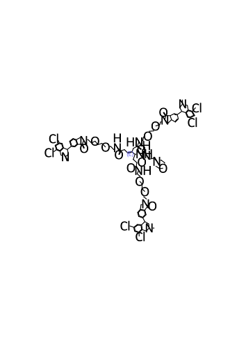 CN1Cc2c(Cl)cc(Cl)cc2C(C2=CC3C(=O)N(CCOCCOCCNC(=O)C/C(=C\CC(=O)NCCOCCOCCN4Cc5ccc(C6CN(C)Cc7c(Cl)cc(Cl)cc76)cc5C4=O)C(CCC(=O)NCCOCCOCCN4Cc5ccc(C6CN(C)Cc7c(Cl)cc(Cl)cc76)cc5C4=O)NC(=O)NCCN4CCOCC4)CC3C=C2)C1